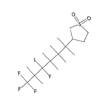 CC(C)(C1CCS(=O)(=O)C1)C(C)(C)C(C)(C)C(F)(I)C(C)(C)C(F)(F)F